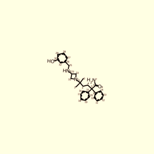 CC(C)(CCC(C(N)=O)(c1ccccc1)c1ccccc1)N1CC(NCc2cccc(O)c2)C1